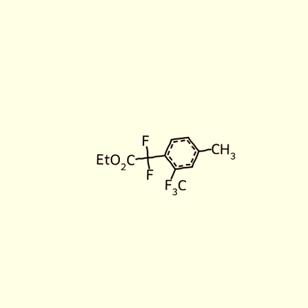 CCOC(=O)C(F)(F)c1ccc(C)cc1C(F)(F)F